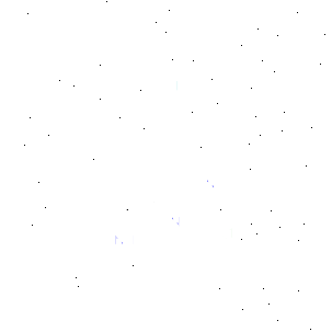 NC(=O)c1nc(Cl)nc2cc(F)ccc12